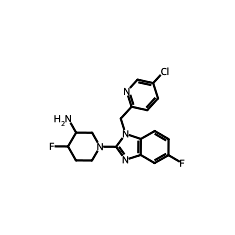 NC1CN(c2nc3cc(F)ccc3n2Cc2ccc(Cl)cn2)CCC1F